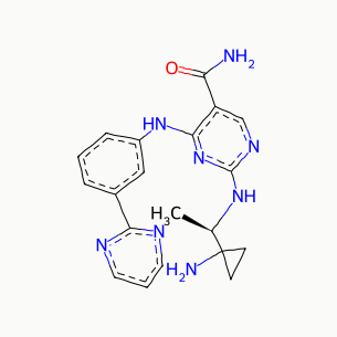 C[C@@H](Nc1ncc(C(N)=O)c(Nc2cccc(-c3ncccn3)c2)n1)C1(N)CC1